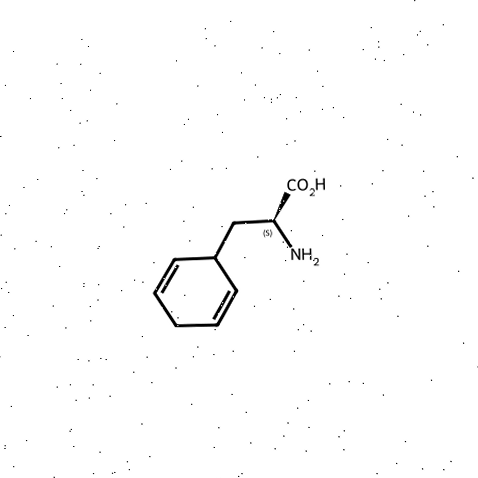 N[C@@H](CC1C=CCC=C1)C(=O)O